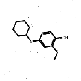 CCc1cc(SC2CCCCC2)ccc1O